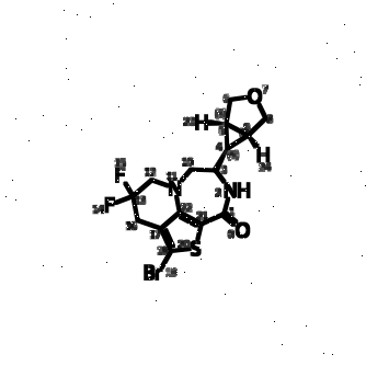 O=C1NC([C@H]2[C@@H]3COC[C@@H]32)CN2CC(F)(F)Cc3c(Br)sc1c32